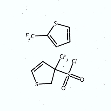 FC(F)(F)c1cccs1.O=S(=O)(Cl)C1(C(F)(F)F)C=CSC1